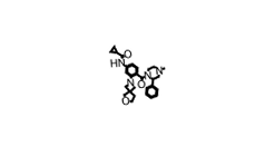 CN1CCN(C(=O)c2ccc(NC(=O)C3CC3)cc2N2CC3(CCOC3)C2)C(c2ccccc2)C1